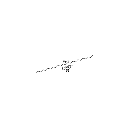 CCCCCCCCCCCCC(CCCCCCCCCCC)P(=O)([O-])[O-].[Fe+2]